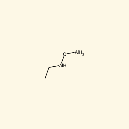 C[CH2][AlH][O][AlH2]